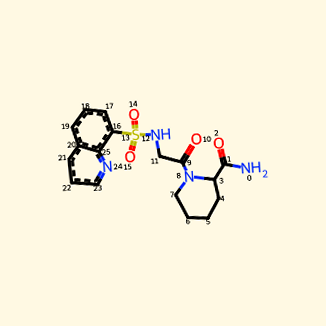 NC(=O)C1CCCCN1C(=O)CNS(=O)(=O)c1cccc2cccnc12